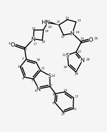 O=C(c1ccc2nc(-c3ccccc3)sc2c1)N1CC(N[C@H]2CCN(C(=O)c3nccs3)C2)C1